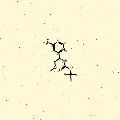 COCC(NC(=O)OC(C)(C)C)c1cc(N)ncn1